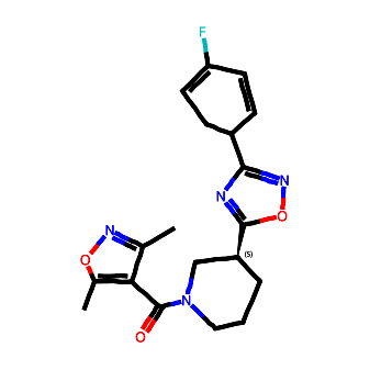 Cc1noc(C)c1C(=O)N1CCC[C@H](c2nc(C3C=CC(F)=CC3)no2)C1